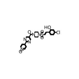 O=C(c1cnc(-c2cc[n+]([O-])cc2)nc1)N1CCN(S(=O)(=O)C=Cc2ccc(Cl)cc2O)CC1